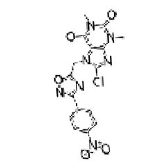 Cn1c(=O)c2c(nc(Cl)n2Cc2nc(-c3ccc([N+](=O)[O-])cc3)no2)n(C)c1=O